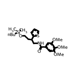 CCCC[Si](C)(C)OCCC(CNC(=O)c1cc(OC)c(OC)c(OC)c1)c1cccs1